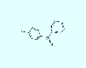 C[C@@H](c1ccc(F)cc1)c1ccccn1